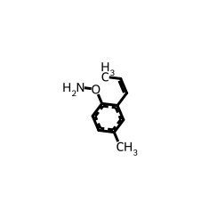 C/C=C\c1cc(C)ccc1ON